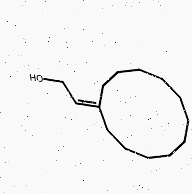 OCC=C1CCCCCCCCCCC1